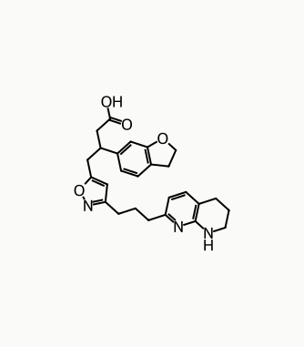 O=C(O)CC(Cc1cc(CCCc2ccc3c(n2)NCCC3)no1)c1ccc2c(c1)OCC2